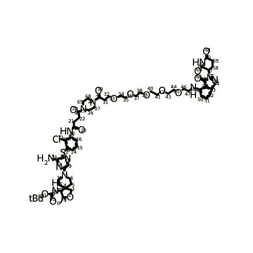 C[C@@H]1OCC2(CCN(c3cnc(Sc4cccc(NC(=O)CCC(=O)N5CCN(C(=O)CCOCCOCCOCCOCCOCCNc6cccc7cnn(C8CCC(=O)NC8=O)c(=O)c67)CC5)c4Cl)c(N)n3)CC2)[C@@H]1NC(=O)OC(C)(C)C